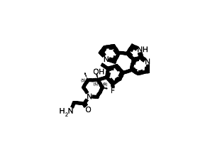 Cc1cc(-c2ccnc3[nH]cc(-c4cccnc4)c23)cc(F)c1[C@@]1(O)[C@H](C)CN(C(=O)CN)C[C@@H]1C